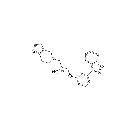 O[C@@H](COc1cccc(-c2noc3ncccc23)c1)CN1CCc2sccc2C1